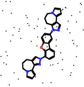 c1cc(-n2cc3c(n2)-c2cccn2CCC3)c2oc3ccc(-n4ncc5c4CCCn4cccc4-5)cc3c2c1